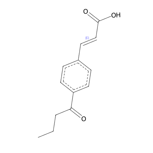 CCCC(=O)c1ccc(/C=C/C(=O)O)cc1